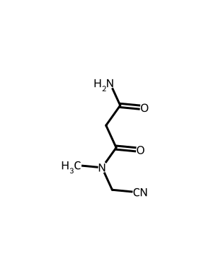 CN(CC#N)C(=O)CC(N)=O